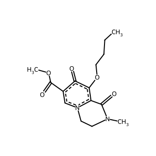 CCCCOc1c2n(cc(C(=O)OC)c1=O)CCN(C)C2=O